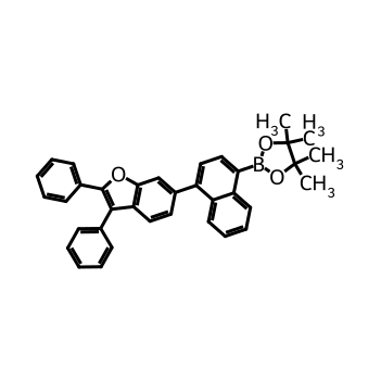 CC1(C)OB(c2ccc(-c3ccc4c(-c5ccccc5)c(-c5ccccc5)oc4c3)c3ccccc23)OC1(C)C